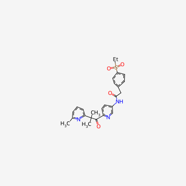 CCS(=O)(=O)c1ccc(CC(=O)Nc2ccc(C(=O)C(C)(C)c3cccc(C)n3)nc2)cc1